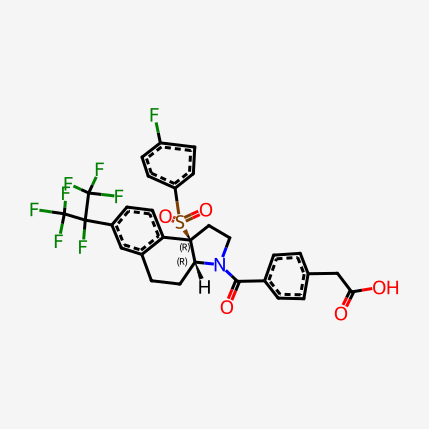 O=C(O)Cc1ccc(C(=O)N2CC[C@@]3(S(=O)(=O)c4ccc(F)cc4)c4ccc(C(F)(C(F)(F)F)C(F)(F)F)cc4CC[C@@H]23)cc1